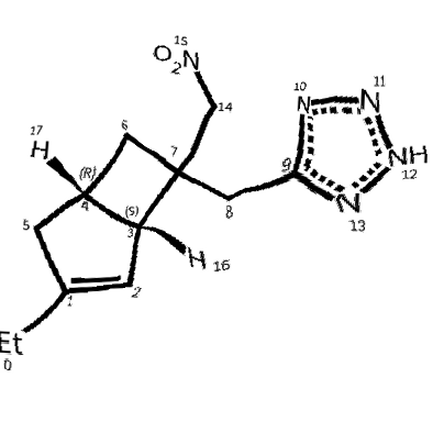 CCC1=C[C@@H]2[C@H](C1)CC2(Cc1nn[nH]n1)C[N+](=O)[O-]